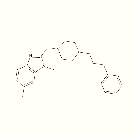 Cc1ccc2nc(CN3CCC(CCCc4ccccc4)CC3)n(C)c2c1